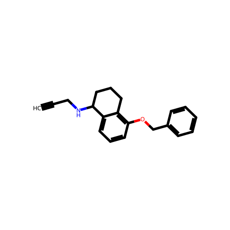 C#CCNC1CCCc2c(OCc3ccccc3)cccc21